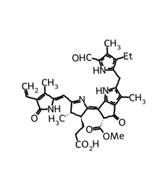 C=CC1=C(C)/C(=C/C2=NC(=C3\c4[nH]c(Cc5[nH]c(C=O)c(C)c5CC)c(C)c4C(=O)[C@@H]3C(=O)OC)/[C@@H](CCC(=O)O)[C@@H]2C)NC1=O